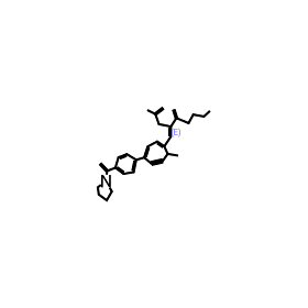 C=C(C)C/C(=C\C1=CC=C(c2ccc(C(=C)N3CCCC3)cc2)C#CC1C)C(=C)CCCC